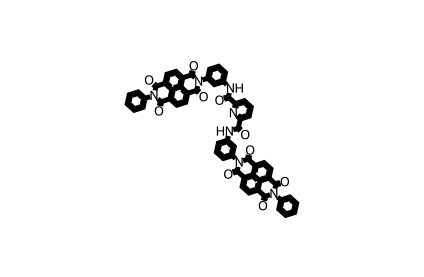 O=C(Nc1cccc(N2C(=O)c3ccc4c5c(ccc(c35)C2=O)C(=O)N(c2ccccc2)C4=O)c1)c1cccc(C(=O)Nc2cccc(N3C(=O)c4ccc5c6c(ccc(c46)C3=O)C(=O)N(c3ccccc3)C5=O)c2)n1